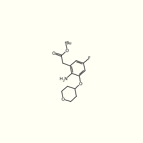 CC(C)(C)OC(=O)Cc1cc(F)cc(OC2CCOCC2)c1N